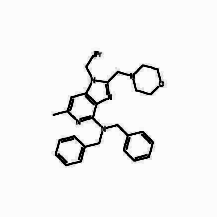 Cc1cc2c(nc(CN3CCOCC3)n2CC(C)C)c(N(Cc2ccccc2)Cc2ccccc2)n1